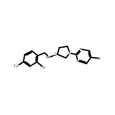 FC(F)(F)c1ccc(CN[C@H]2CCN(c3ncc(Br)cn3)C2)c(Cl)c1